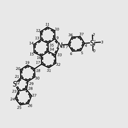 C[Si](C)(C)c1ccc(-n2c3cccc4ccc5c(-c6ccc7sc8ccccc8c7c6)ccc2c5c43)cc1